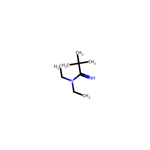 CCN(CC)C(=N)C(C)(C)C